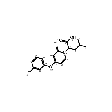 CC(C)CC(C(=O)O)n1ccc(Oc2cccc(F)c2)cc1=O